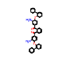 Nc1cc(C(=O)c2ccccc2C(=O)c2ccc(Oc3ccccc3-c3ccccc3)c(N)c2)ccc1Oc1ccccc1-c1ccccc1